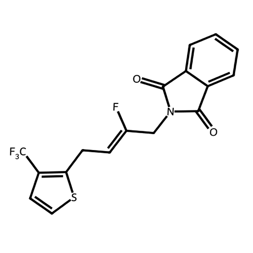 O=C1c2ccccc2C(=O)N1CC(F)=CCc1sccc1C(F)(F)F